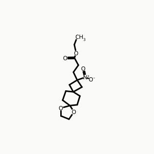 CCOC(=O)CCC1([N+](=O)[O-])CC2(CCC3(CC2)OCCO3)C1